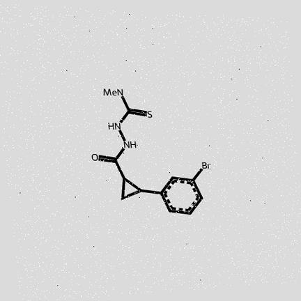 CNC(=S)NNC(=O)C1CC1c1cccc(Br)c1